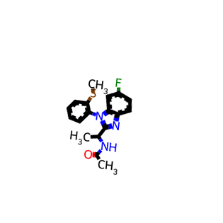 CSc1ccccc1-n1c(C(C)NC(C)=O)nc2ccc(F)cc21